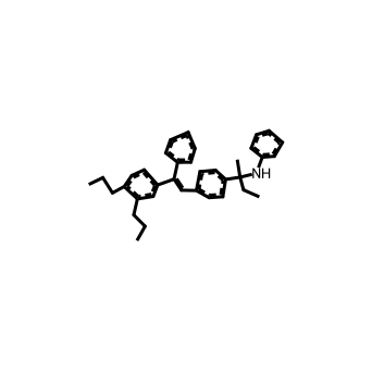 CCCc1ccc(C(=Cc2ccc(C(C)(CC)Nc3ccccc3)cc2)c2ccccc2)cc1CCC